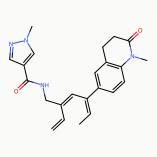 C=C/C(=C\C(=C/C)c1ccc2c(c1)CCC(=O)N2C)CNC(=O)c1cnn(C)c1